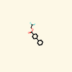 O=C(OCC(F)F)c1ccc(-c2ccccc2)cc1